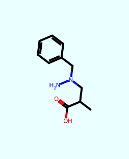 CC(CN(N)Cc1ccccc1)C(=O)O